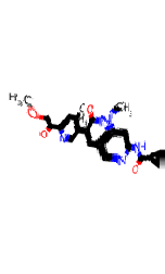 COCC(=O)c1cc(C)c(-c2cc3cnc(NC(=O)C4CC4)cc3n(C)c2=O)cn1